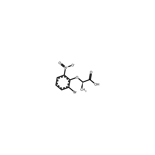 C[C@@H](Oc1c(Br)cccc1[N+](=O)[O-])C(=O)O